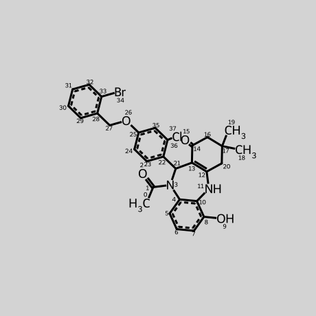 CC(=O)N1c2cccc(O)c2NC2=C(C(=O)CC(C)(C)C2)C1c1ccc(OCc2ccccc2Br)cc1Cl